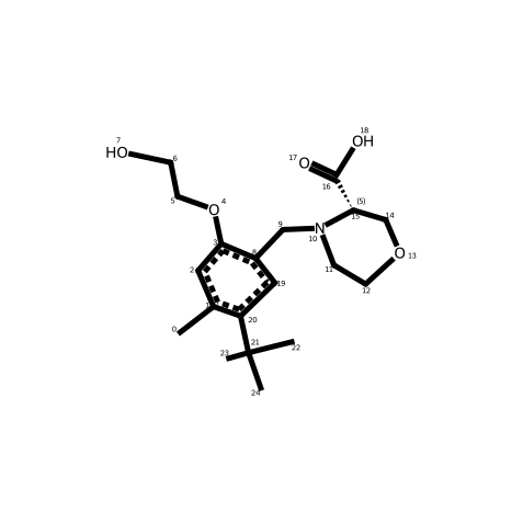 Cc1cc(OCCO)c(CN2CCOC[C@H]2C(=O)O)cc1C(C)(C)C